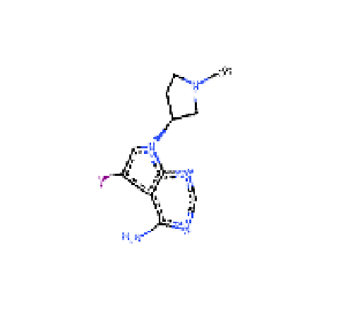 CCCN1CC[C@H](n2cc(I)c3c(N)ncnc32)C1